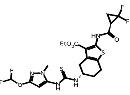 CCOC(=O)c1c(NC(=O)[C@H]2CC2(F)F)sc2c1C[C@@H](NC(=S)Nc1cc(OC(F)F)nn1C)CC2